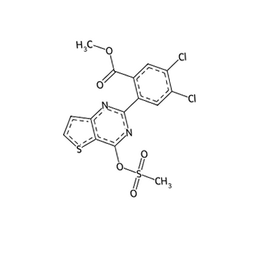 COC(=O)c1cc(Cl)c(Cl)cc1-c1nc(OS(C)(=O)=O)c2sccc2n1